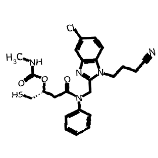 CNC(=O)O[C@@H](CS)CC(=O)N(Cc1nc2cc(Cl)ccc2n1CCCC#N)c1ccccc1